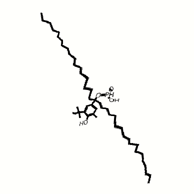 CCCCCCCCCCCCCCCCCCC(CCCCCCCCCCCCCCCCCC)(O[PH](=O)O)c1cc(C)c(O)c(C(C)(C)C)c1